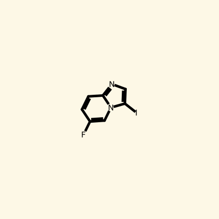 Fc1ccc2ncc(I)n2c1